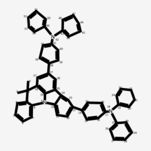 CC1(C)c2ccccc2-n2c3ccc(-c4ccc(N(C5=CCCC=C5)c5ccccc5)cc4)cc3c3cc(-c4ccc(N(c5ccccc5)c5ccccc5)cc4)cc1c32